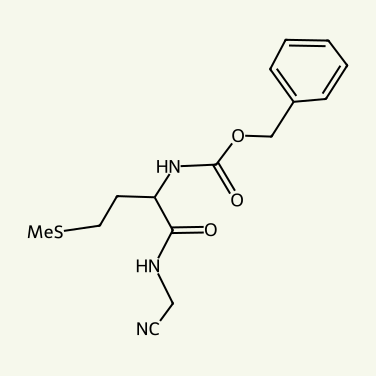 CSCCC(NC(=O)OCc1ccccc1)C(=O)NCC#N